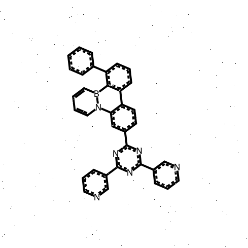 C1=CB2c3c(-c4ccccc4)cccc3-c3ccc(-c4nc(-c5cccnc5)nc(-c5cccnc5)n4)cc3N2C=C1